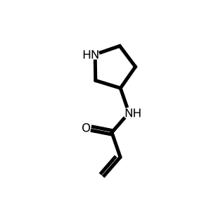 C=CC(=O)NC1CCNC1